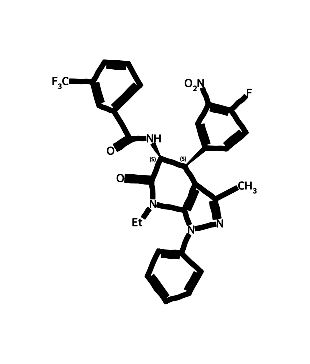 CCN1C(=O)[C@@H](NC(=O)c2cccc(C(F)(F)F)c2)[C@@H](c2ccc(F)c([N+](=O)[O-])c2)c2c(C)nn(-c3ccccc3)c21